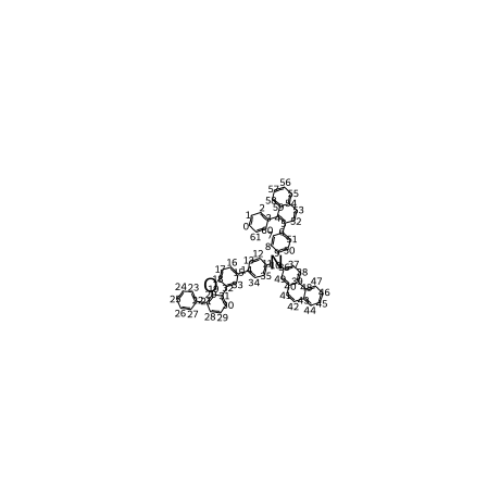 c1ccc(-c2c(-c3ccc(N(c4ccc(-c5ccc6oc7c(-c8ccccc8)cccc7c6c5)cc4)c4ccc5c(ccc6ccccc65)c4)cc3)ccc3ccccc23)cc1